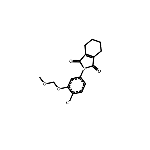 COCOc1cc(N2C(=O)C3=C(CCCC3)C2=O)ccc1Cl